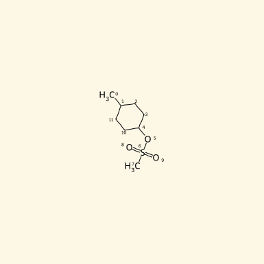 CC1CCC(OS(C)(=O)=O)CC1